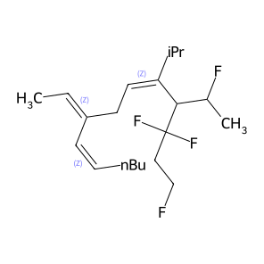 C/C=C(\C=C/CCCC)C/C=C(/C(C)C)C(C(C)F)C(F)(F)CCF